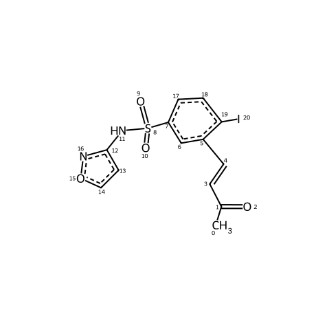 CC(=O)/C=C/c1cc(S(=O)(=O)Nc2ccon2)ccc1I